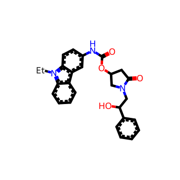 CCn1c2ccccc2c2cc(NC(=O)OC3CC(=O)N(CC(O)c4ccccc4)C3)ccc21